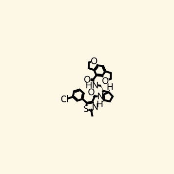 Cc1nc(C(=O)N2[C@@H]3CC[C@@H](C3)[C@H]2CNC(=O)c2c3c(cc4c2OCC4)OCC3)c(-c2cccc(Cl)c2)s1